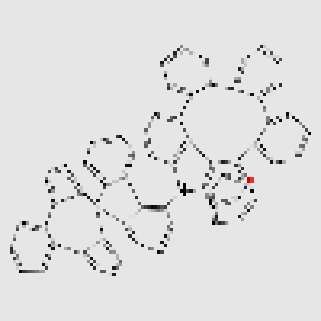 c1ccc(N(c2cccc3c2-c2ccccc2C32c3ccccc3-c3ccccc3-c3ccccc32)c2cccc3c4ccccc4c4ccccc4c4ccccc4c4ccccc4c23)cc1